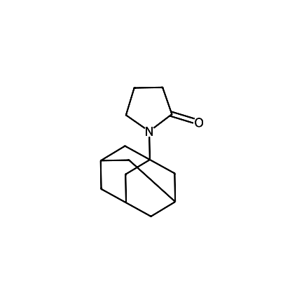 O=C1CCCN1C12CC3CC(CC(C3)C1)C2